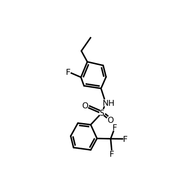 CCc1ccc(NS(=O)(=O)c2ccccc2C(F)(F)F)cc1F